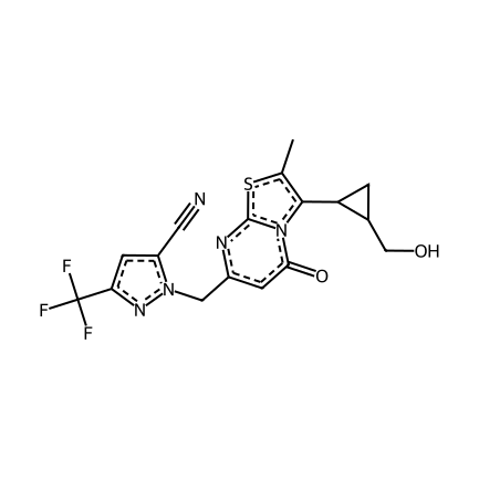 Cc1sc2nc(Cn3nc(C(F)(F)F)cc3C#N)cc(=O)n2c1C1CC1CO